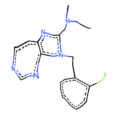 CN(C)c1nc2cncnc2n1Cc1ccccc1F